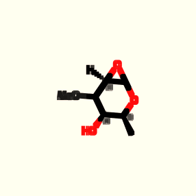 COC1[C@H]2OC2O[C@@H](C)[C@H]1O